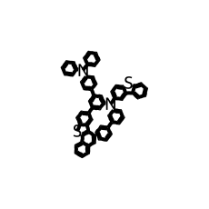 c1ccc(-c2cccc(N(c3cc(-c4ccc(N(c5ccccc5)c5ccccc5)cc4)cc(-c4ccc5sc6c7ccccc7ccc6c5c4)c3)c3ccc4sc5ccccc5c4c3)c2)cc1